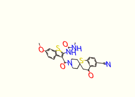 CNC(=O)Nc1sc2cc(OC)ccc2c1C(=O)N1CCC2(CC1)CC(=O)c1cc(C#N)ccc1S2